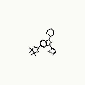 Cn1nccc1-c1nn(C2CCCCO2)c2ccc(B3OC(C)(C)C(C)(C)O3)cc12